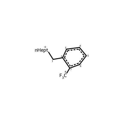 CCCCCCCCc1ccc[c]c1C(F)(F)F